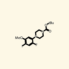 COc1cc(N2CCN(C(=O)OC(C)(C)C)CC2)c(F)cc1I